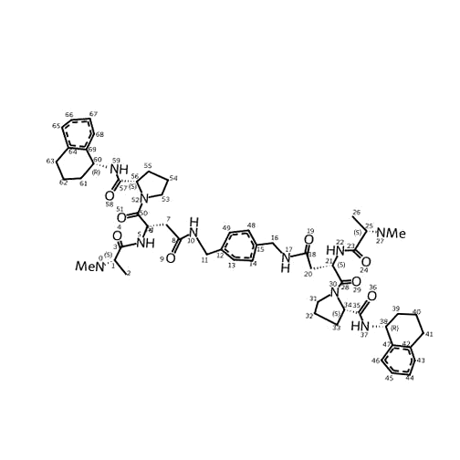 CN[C@@H](C)C(=O)N[C@@H](CC(=O)NCc1ccc(CNC(=O)C[C@H](NC(=O)[C@H](C)NC)C(=O)N2CCC[C@H]2C(=O)N[C@@H]2CCCc3ccccc32)cc1)C(=O)N1CCC[C@H]1C(=O)N[C@@H]1CCCc2ccccc21